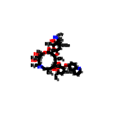 CCCNC[C@]1(O)[C@H](C)O[C@@H](O[C@H]2[C@H](C)[C@@H](O[C@@H]3O[C@H](C)C[C@H](NC)[C@H]3Oc3ccc4ncccc4c3)[C@](C)(O)C[C@@H](C)CN[C@H](C)[C@@H](O)[C@](C)(O)[C@@H](CC)OC(=O)[C@@H]2C)C[C@@]1(C)OC